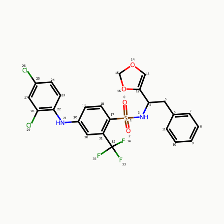 O=S(=O)(NC(Cc1ccccc1)C1=COCO1)c1ccc(Nc2ccc(Cl)cc2Cl)cc1C(F)(F)F